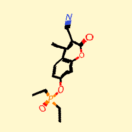 CCP(=O)(CC)Oc1ccc2c(C)c(C#N)c(=O)oc2c1